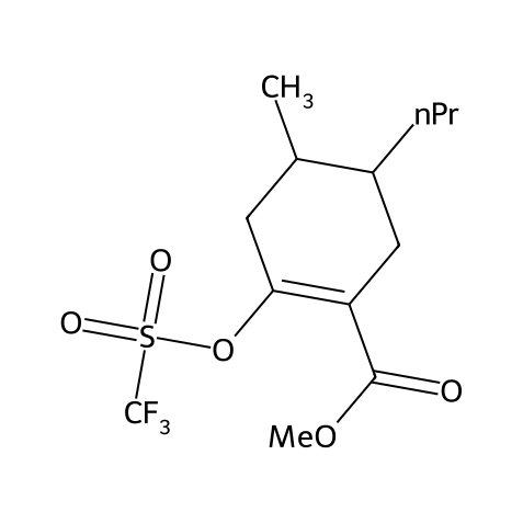 CCCC1CC(C(=O)OC)=C(OS(=O)(=O)C(F)(F)F)CC1C